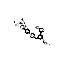 CCOc1cc(CN2CCN(c3ccc(C(=O)NS(=O)(=O)C(C)(C)C)cc3)CC2)cc(-c2cncc(O)c2)c1